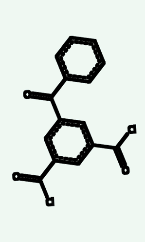 O=C(Cl)c1cc(C(=O)Cl)cc(C(=O)c2ccccc2)c1